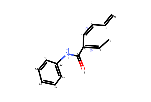 C=C/C=C\C(=C/C)C(=O)Nc1ccccc1